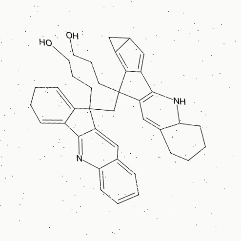 OCCCC1(CC2(CCCO)C3=CCCC=C3c3nc4ccccc4cc32)C2=C(NC3CCCCC3=C2)C2=CC3CC3=C21